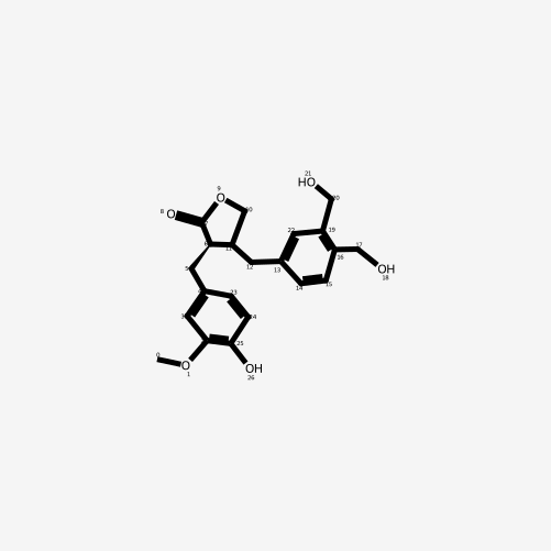 COc1cc(C[C@H]2C(=O)OCC2Cc2ccc(CO)c(CO)c2)ccc1O